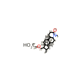 CC1C[C@H]2[C@@H]3CCC4N(C)C(=O)CC[C@]4(C)[C@@H]3CC[C@]2(C)C1COCC(=O)O